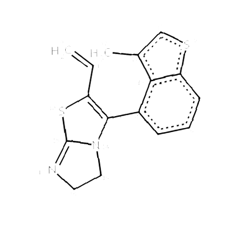 C=CC1=C(c2cccc3scc(C)c23)N2CCN=C2S1